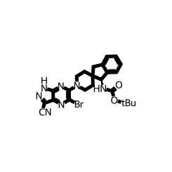 CC(C)(C)OC(=O)N[C@@H]1c2ccccc2CC12CCN(c1nc3[nH]nc(C#N)c3nc1Br)CC2